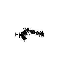 CCN(C(=O)[C@@H]1CCN(CC(=O)N2CC=C(c3ccc(-c4ncn(C)n4)cc3)CC2)C1)c1ccc2[nH]nc(-c3ccc(F)cn3)c2n1